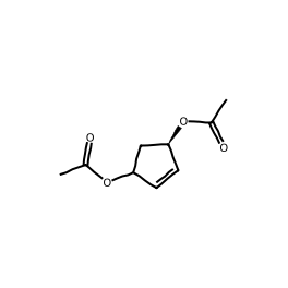 CC(=O)OC1C=C[C@H](OC(C)=O)C1